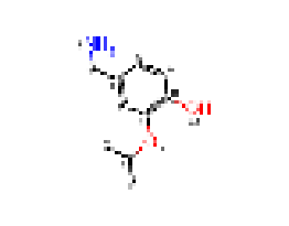 CC(C)Oc1cc(CN)ccc1O